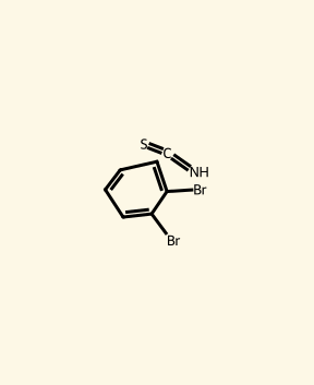 Brc1ccccc1Br.N=C=S